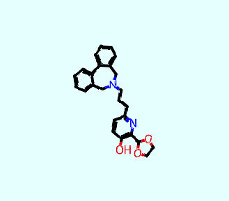 Oc1ccc(CCCN2Cc3ccccc3-c3ccccc3C2)nc1C1OCCO1